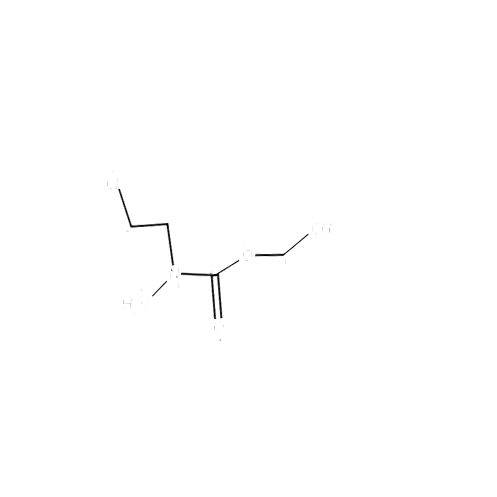 CCOC(=O)N(C)CCCl